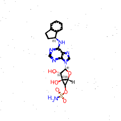 NS(=O)(=O)OC1[C@H]2O[C@@H](n3cnc4c(N[C@H]5CCc6ccccc65)ncnc43)[C@@H](O)[C@@]12O